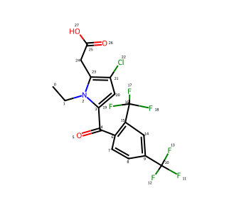 CCn1c(C(=O)c2ccc(C(F)(F)F)cc2C(F)(F)F)cc(Cl)c1CC(=O)O